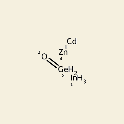 [Cd].[InH3].[O]=[GeH2].[Zn]